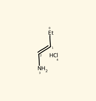 CC/C=C/N.Cl